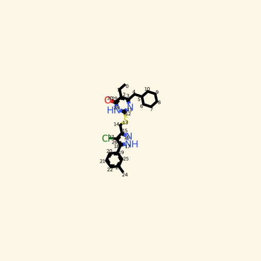 CCc1c(CC2CCCCC2)nc(SCc2n[nH]c(-c3cccc(C)c3)c2Cl)[nH]c1=O